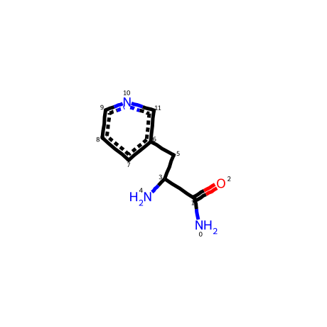 NC(=O)C(N)Cc1cccnc1